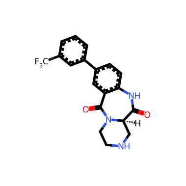 O=C1Nc2ccc(-c3cccc(C(F)(F)F)c3)cc2C(=O)N2CCNC[C@H]12